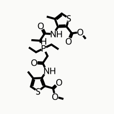 CC[PH](CC)(CC(=O)Nc1c(C)csc1C(=O)OC)C(C)C(=O)Nc1c(C)csc1C(=O)OC